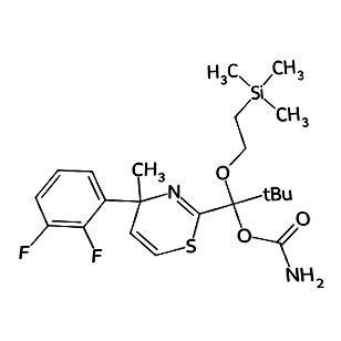 CC1(c2cccc(F)c2F)C=CSC(C(OCC[Si](C)(C)C)(OC(N)=O)C(C)(C)C)=N1